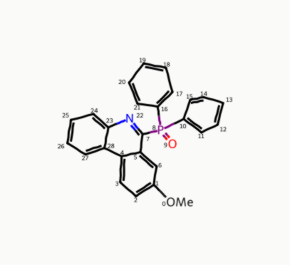 COc1ccc2c(c1)c(P(=O)(c1ccccc1)c1ccccc1)nc1ccccc12